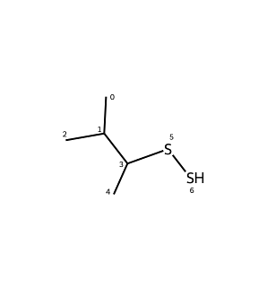 CC(C)C(C)SS